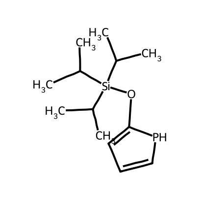 CC(C)[Si](Oc1ccc[pH]1)(C(C)C)C(C)C